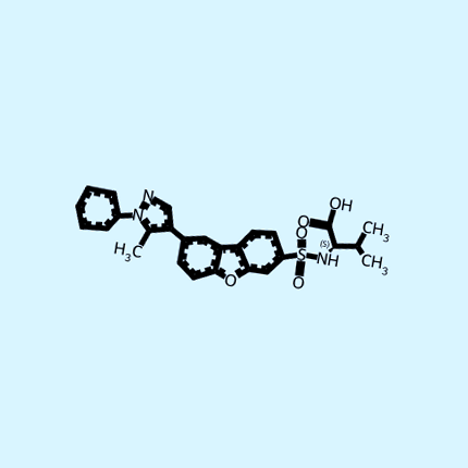 Cc1c(-c2ccc3oc4cc(S(=O)(=O)N[C@H](C(=O)O)C(C)C)ccc4c3c2)cnn1-c1ccccc1